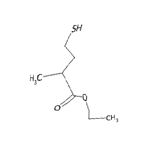 CCOC(=O)C(C)CCS